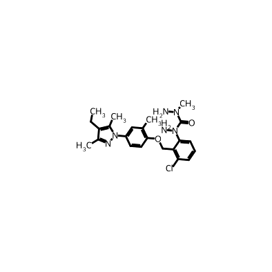 CCc1c(C)nn(-c2ccc(OCc3c(Cl)cccc3N(N)C(=O)N(C)N)c(C)c2)c1C